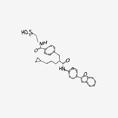 O=C(NCCS(=O)(=O)O)c1ccc(CC(CCCC2CC2)C(=O)Nc2ccc(-c3cc4ccccc4o3)cc2)cc1